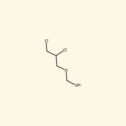 CCCCOCC(Cl)CCl